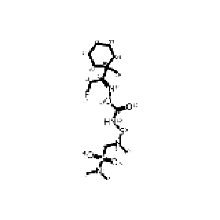 CN(CS(=O)(=O)N(C)C)SNC(=O)ON=C(CF)C1(C)CCCCC1